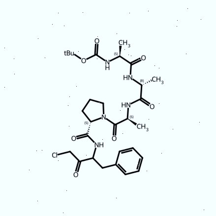 C[C@H](NC(=O)OC(C)(C)C)C(=O)N[C@H](C)C(=O)N[C@@H](C)C(=O)N1CCC[C@H]1C(=O)NC(Cc1ccccc1)C(=O)CCl